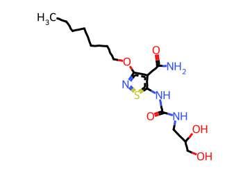 CCCCCCCOc1nsc(NC(=O)NCC(O)CO)c1C(N)=O